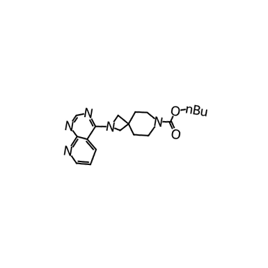 CCCCOC(=O)N1CCC2(CC1)CN(c1ncnc3ncccc13)C2